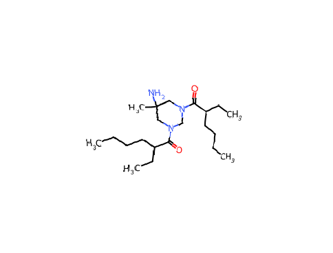 CCCCC(CC)C(=O)N1CN(C(=O)C(CC)CCCC)CC(C)(N)C1